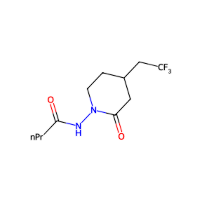 CCCC(=O)NN1CCC(CC(F)(F)F)CC1=O